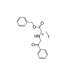 O=C(CN[C@@H](CI)C(=O)OCc1ccccc1)c1ccccc1